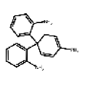 Nc1ccccc1C1(c2ccccc2N)C=CC(P)=CC1